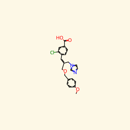 COc1ccc(COCC(=Cc2ccc(C(=O)O)cc2Cl)Cn2ccnc2)cc1